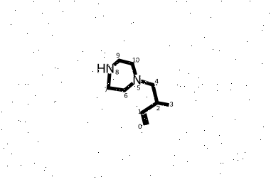 C=CC(C)[CH]N1CCNCC1